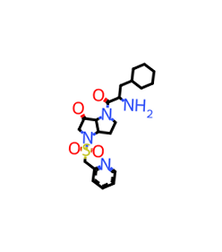 NC(CC1CCCCC1)C(=O)N1CCC2C1C(=O)CN2S(=O)(=O)Cc1ccccn1